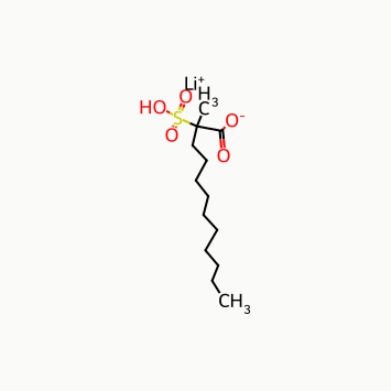 CCCCCCCCCCC(C)(C(=O)[O-])S(=O)(=O)O.[Li+]